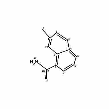 Cc1ccc2cccc([C@@H](C)N)c2c1